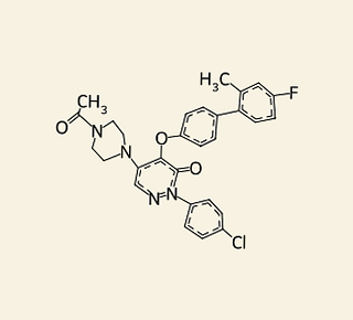 CC(=O)N1CCN(c2cnn(-c3ccc(Cl)cc3)c(=O)c2Oc2ccc(-c3ccc(F)cc3C)cc2)CC1